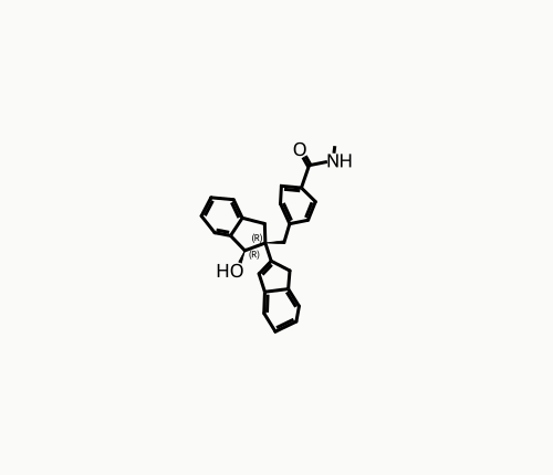 CNC(=O)c1ccc(C[C@]2(C3=Cc4ccccc4C3)Cc3ccccc3[C@@H]2O)cc1